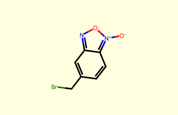 [O-][n+]1onc2cc(CBr)ccc21